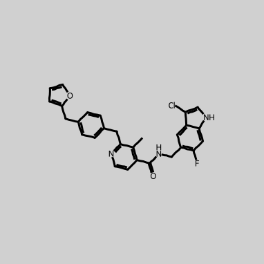 Cc1c(C(=O)NCc2cc3c(Cl)c[nH]c3cc2F)ccnc1Cc1ccc(Cc2ccco2)cc1